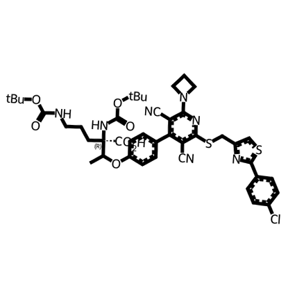 CC(Oc1ccc(-c2c(C#N)c(SCc3csc(-c4ccc(Cl)cc4)n3)nc(N3CCC3)c2C#N)cc1)[C@@](CCCNC(=O)OC(C)(C)C)(NC(=O)OC(C)(C)C)C(=O)O